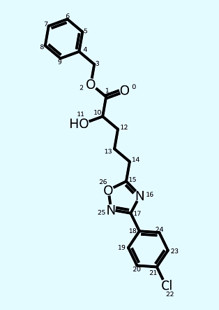 O=C(OCc1ccccc1)C(O)CCCc1nc(-c2ccc(Cl)cc2)no1